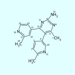 Cc1ccc(-c2c(C)nc(N)nc2-c2ccnc(C)c2)cn1